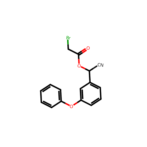 N#CC(OC(=O)CBr)c1cccc(Oc2ccccc2)c1